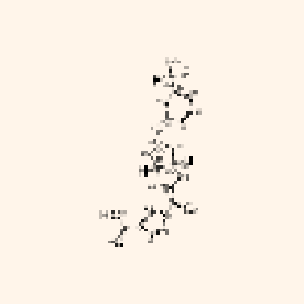 O=C(O)c1ccn(C(=O)N2C[C@H]3C[C@H](Oc4cccc(C(F)(F)F)c4)C[C@H]3C2)n1